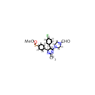 COOSc1ccc(-c2nc(C(F)(F)F)nc(N3CCN(C=O)CC3)c2-c2ccc(F)cc2)cc1